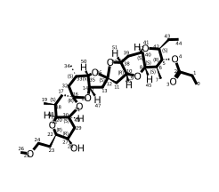 CCC(=O)O[C@@H]1[C@@H](C)[C@@H]2O[C@@H]3C[C@]4(C[C@@H]5O[C@]6(C[C@H](C)[C@@H]7O[C@H](CCOC)[C@H](O)C[C@@H]7O6)C[C@H](C)[C@@H]5O4)O[C@@H]3C[C@@H]2O[C@H]1CC